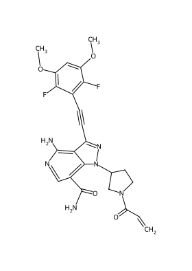 C=CC(=O)N1CCC(n2nc(C#Cc3c(F)c(OC)cc(OC)c3F)c3c(N)ncc(C(N)=O)c32)C1